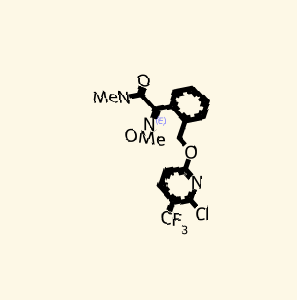 CNC(=O)/C(=N/OC)c1ccccc1COc1ccc(C(F)(F)F)c(Cl)n1